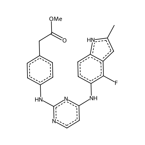 COC(=O)Cc1ccc(Nc2nccc(Nc3ccc4[nH]c(C)cc4c3F)n2)cc1